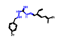 C=CC(/C=N/NC(=N)NNCc1ccc(C(C)C)cc1)=C\C=C(/C)C(C)C